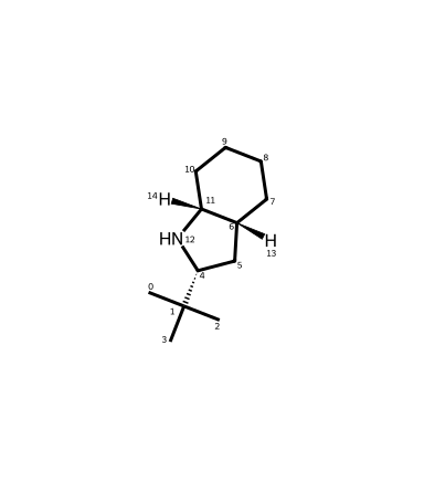 CC(C)(C)[C@H]1C[C@H]2CCCC[C@H]2N1